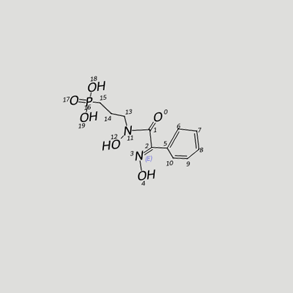 O=C(/C(=N/O)c1ccccc1)N(O)CCCP(=O)(O)O